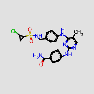 Cc1cnc(Nc2ccc(C(N)=O)cc2)nc1Nc1ccc(CNS(=O)(=O)C2CC2Cl)cc1